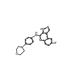 Fc1ccc2nc(Nc3ccc(N4CCOCC4)cc3)c3[nH]ncc3c2c1